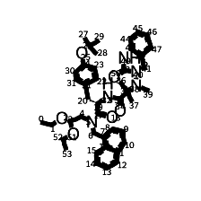 CCOC(CN(Cc1cccc2ccccc12)C(=O)[C@H](Cc1ccc(OC(C)(C)C)cc1)NC(=O)C(C)(C)N(C)N(Cc1ccccc1)C(N)=O)OCC